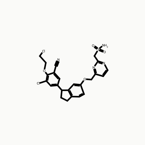 N#Cc1cc(C2CCc3ccc(OCc4ccnc(CS(N)(=O)=O)n4)cc32)cc(Cl)c1OCCCl